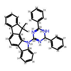 CC1(C)c2ccccc2-c2ccc3c4ccccc4n(C4=NC(c5ccccc5)NC(c5ccccc5)=N4)c3c21